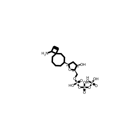 NC1C#CC12CCCCC([C@H]1C[C@@H](O)[C@@H](COP(=O)(O)OP(=O)(O)OP(=O)(O)O)O1)CC2